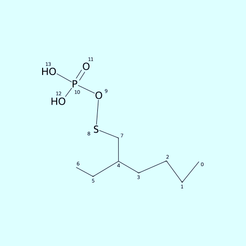 CCCCC(CC)CSOP(=O)(O)O